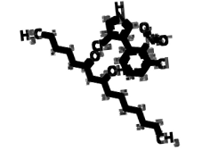 CCCC[CH]C(=O)CC(O)CCCCCCC.O=[N+]([O-])c1c(Cl)cccc1-c1c[nH]cc1Cl